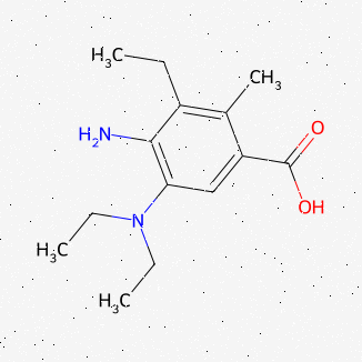 CCc1c(C)c(C(=O)O)cc(N(CC)CC)c1N